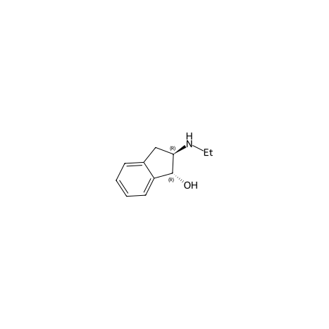 CCN[C@@H]1Cc2ccccc2[C@H]1O